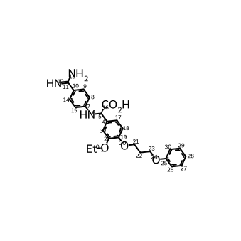 CCOc1cc([C@@H](Nc2ccc(C(=N)N)cc2)C(=O)O)ccc1OCCCOc1ccccc1